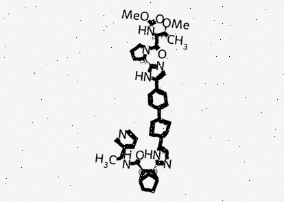 COC(=O)N[C@H](C(=O)N1CCC[C@H]1c1ncc(-c2ccc(-c3ccc(-c4cnc([C@@H]5C6CCC(C6)[C@H]5C(=O)NC(C)c5cccnc5)[nH]4)cc3)cc2)[nH]1)[C@@H](C)OC